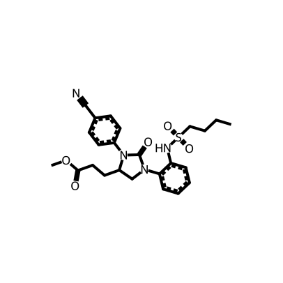 CCCCS(=O)(=O)Nc1ccccc1N1CC(CCC(=O)OC)N(c2ccc(C#N)cc2)C1=O